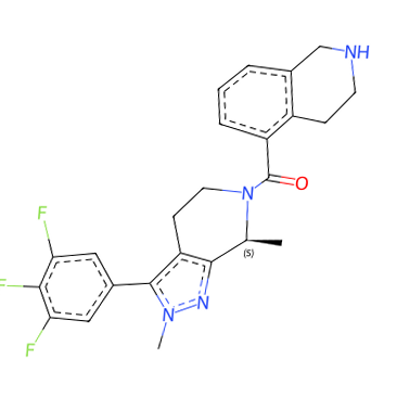 C[C@H]1c2nn(C)c(-c3cc(F)c(F)c(F)c3)c2CCN1C(=O)c1cccc2c1CCNC2